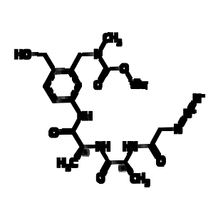 C[C@H](NC(=O)CN=[N+]=[N-])C(=O)N[C@@H](C)C(=O)Nc1ccc(CO)c(CN(C)C(=O)OC(C)(C)C)c1